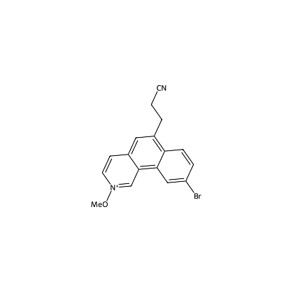 CO[n+]1ccc2cc(CCC#N)c3ccc(Br)cc3c2c1